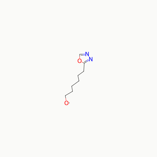 [O]CCCCCCc1nnco1